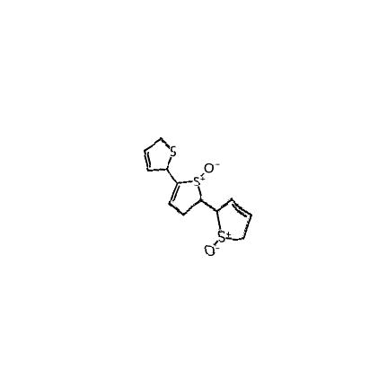 [O-][S+]1CC=CC1C1CC=C(C2C=CCS2)[S+]1[O-]